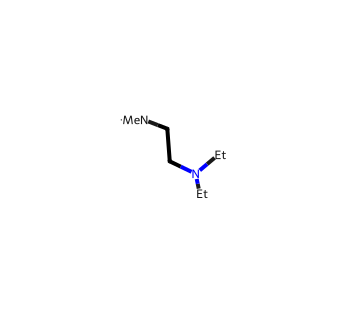 CCN(CC)CC[N]C